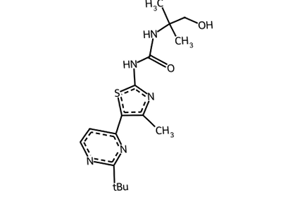 Cc1nc(NC(=O)NC(C)(C)CO)sc1-c1ccnc(C(C)(C)C)n1